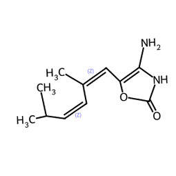 CC(/C=C\C(C)C)=C/c1oc(=O)[nH]c1N